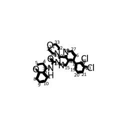 O=C(N[C@H]1CCOc2ccccc21)N1N=Cc2c(-c3cccc(Cl)c3Cl)ccnc2C1N1CCOCC1